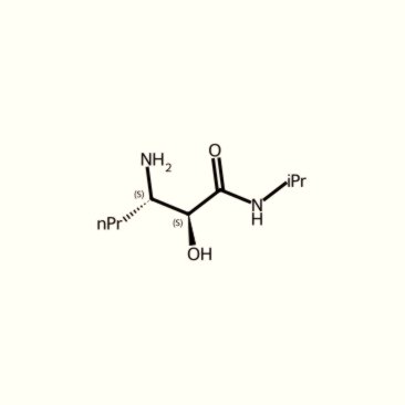 CCC[C@H](N)[C@H](O)C(=O)NC(C)C